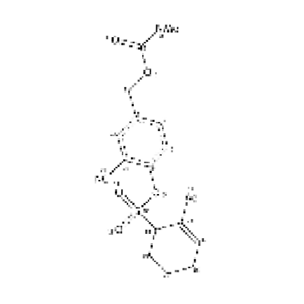 CNC(=O)OCc1ccc(OS(=O)(=O)C2CCCC=C2C(C)=O)c(C#N)c1